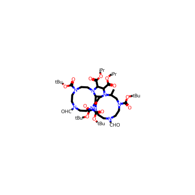 CC(C)OC(=O)C(C(C(=O)OC(C)C)N1CCN(C(=O)OC(C)(C)C)CCN(C=O)CCN(C(=O)OC(C)(C)C)CC1C)N1CCN(C(=O)OC(C)(C)C)CCN(C=O)CCN(C(=O)OC(C)(C)C)CC1C